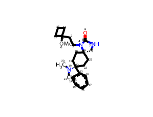 COC1(CCN2C(=O)NC[C@]23CC[C@@](c2ccccc2)(N(C)C)CC3)CCC1